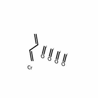 C=CC=C.[C]=O.[C]=O.[C]=O.[C]=O.[Cr]